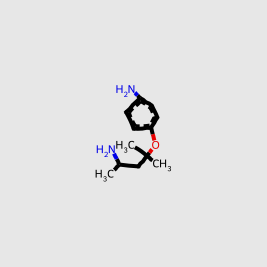 CC(N)CC(C)(C)Oc1ccc(N)cc1